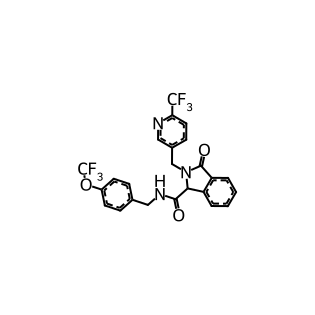 O=C(NCc1ccc(OC(F)(F)F)cc1)C1c2ccccc2C(=O)N1Cc1ccc(C(F)(F)F)nc1